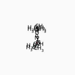 CC(C)(C)OC(=O)Nc1ccc(-c2ccc3cc(OCC(CF)O[Si](C)(C)C(C)(C)C)ccc3n2)cn1